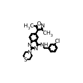 Cc1noc(C)c1-c1ccc2nc(N3CCSCC3)nc(NCc3cccc(Cl)c3)c2c1